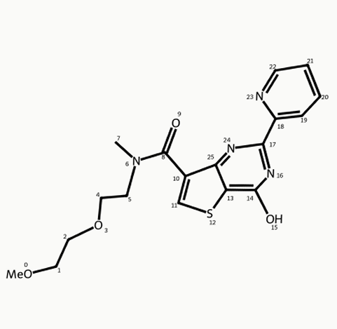 COCCOCCN(C)C(=O)c1csc2c(O)nc(-c3ccccn3)nc12